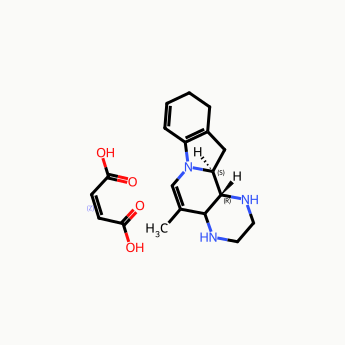 CC1=CN2C3=C(CCC=C3)C[C@H]2[C@@H]2NCCNC12.O=C(O)/C=C\C(=O)O